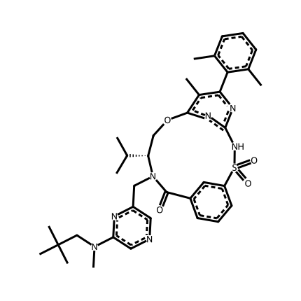 Cc1cccc(C)c1-c1nc2nc(c1C)OC[C@@H](C(C)C)N(Cc1cncc(N(C)CC(C)(C)C)n1)C(=O)c1cccc(c1)S(=O)(=O)N2